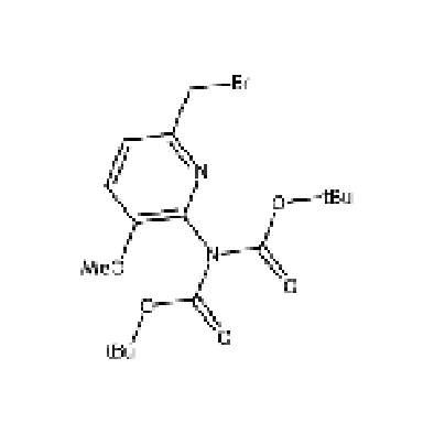 COc1ccc(CBr)nc1N(C(=O)OC(C)(C)C)C(=O)OC(C)(C)C